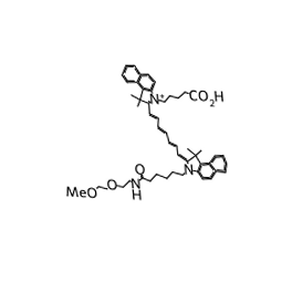 COCCOCCNC(=O)CCCCCN1/C(=C/C=C/C=C/C=C/C2=[N+](CCCCC(=O)O)c3ccc4ccccc4c3C2(C)C)C(C)(C)c2c1ccc1ccccc21